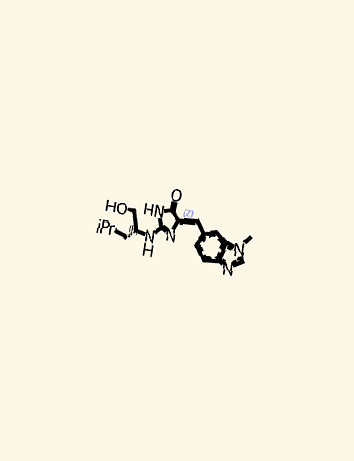 CC(C)C[C@H](CO)NC1=N/C(=C\c2ccc3ncn(C)c3c2)C(=O)N1